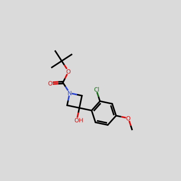 COc1ccc(C2(O)CN(C(=O)OC(C)(C)C)C2)c(Cl)c1